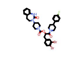 O=C(OC(Cc1ccc(Br)c(Br)c1)C(=O)N1CCC(c2ccc(F)cc2)CC1)N1CCC(N2CCc3ccccc3NC2=O)CC1